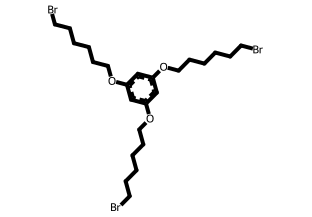 BrCCCCCCOc1cc(OCCCCCCBr)cc(OCCCCCCBr)c1